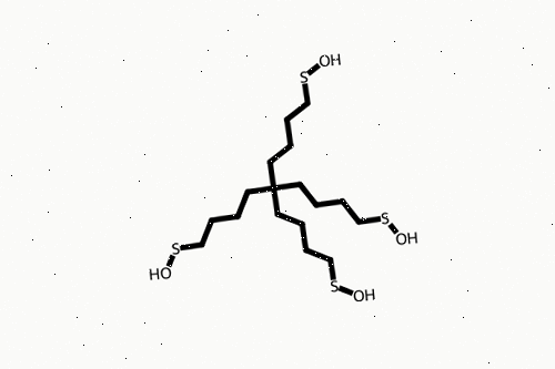 OSCCCCC(CCCCSO)(CCCCSO)CCCCSO